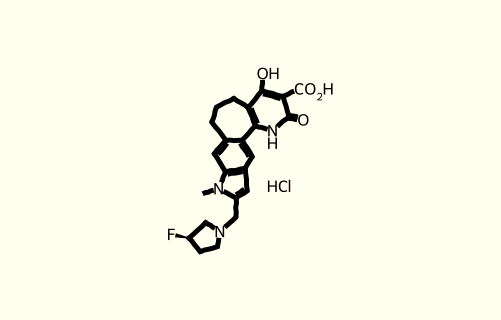 Cl.Cn1c(CN2CC[C@@H](F)C2)cc2cc3c(cc21)CCCc1c-3[nH]c(=O)c(C(=O)O)c1O